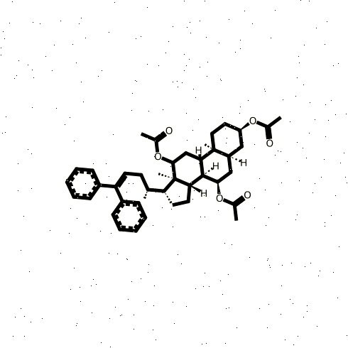 CC(=O)OC1C[C@H]2[C@@H]([C@H](OC(C)=O)C[C@@H]3C[C@H](OC(C)=O)CC[C@@]32C)[C@@H]2CC[C@H]([C@H](C)CC=C(c3ccccc3)c3ccccc3)[C@@]12C